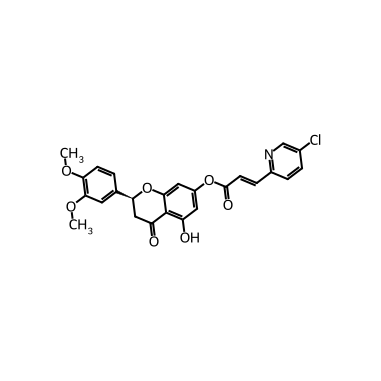 COc1ccc([C@@H]2CC(=O)c3c(O)cc(OC(=O)/C=C/c4ccc(Cl)cn4)cc3O2)cc1OC